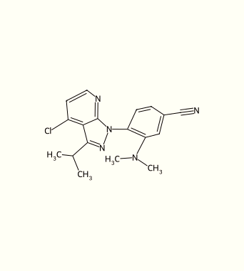 CC(C)c1nn(-c2ccc(C#N)cc2N(C)C)c2nccc(Cl)c12